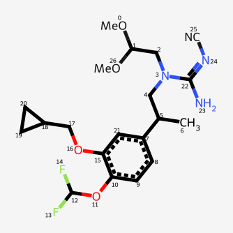 COC(CN(CC(C)c1ccc(OC(F)F)c(OCC2CC2)c1)/C(N)=N\C#N)OC